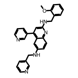 COc1ccccc1CNc1cc(-c2cccnc2)c2cc(NCc3cccnc3)ccc2n1